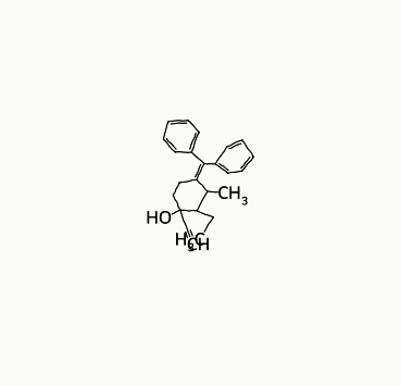 C#CC1(O)CCC(=C(c2ccccc2)c2ccccc2)C(C)C1CC